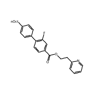 CCCCCCCCc1ccc(-c2ccc(C(=O)OCCc3ccccn3)cc2F)cc1